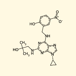 CC(C)(O)CNc1nc(NCc2cc([N+](=O)[O-])ccc2O)c2ncn(C3CC3)c2n1